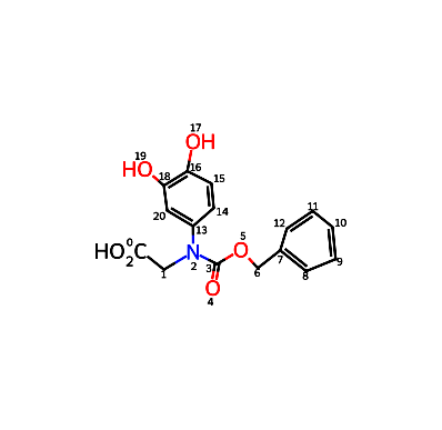 O=C(O)CN(C(=O)OCc1ccccc1)c1ccc(O)c(O)c1